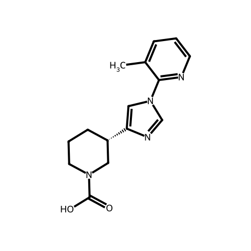 Cc1cccnc1-n1cnc([C@H]2CCCN(C(=O)O)C2)c1